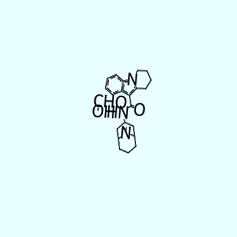 CN1C2CCCC1CC(NC(=O)c1c3n(c4ccccc14)CCCC3)C2.O=CO